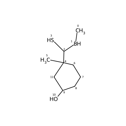 CBC(S)C1(C)CCCC(O)C1